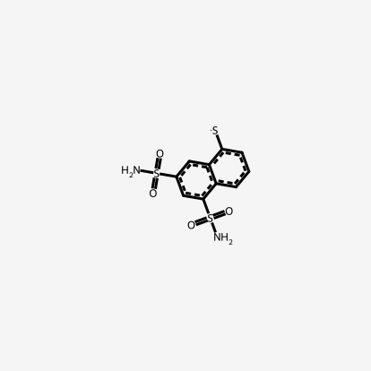 NS(=O)(=O)c1cc(S(N)(=O)=O)c2cccc([S])c2c1